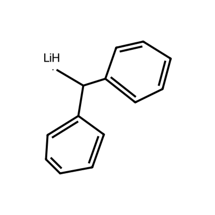 [CH2]C(c1ccccc1)c1ccccc1.[LiH]